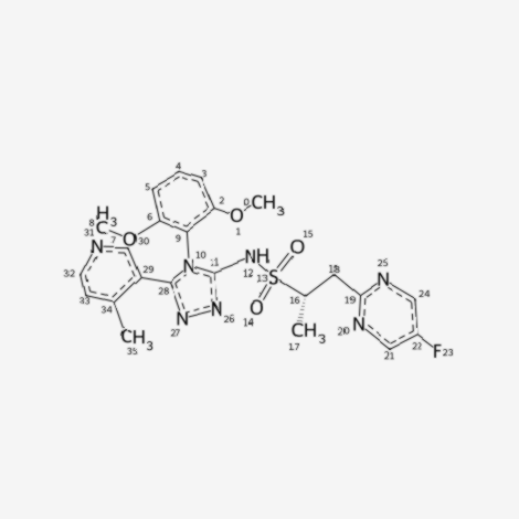 COc1cccc(OC)c1-n1c(NS(=O)(=O)[C@@H](C)Cc2ncc(F)cn2)nnc1-c1cnccc1C